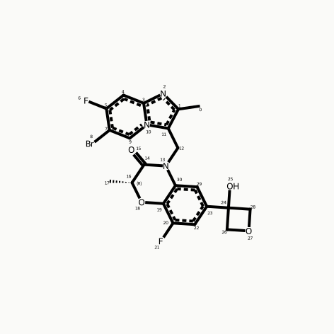 Cc1nc2cc(F)c(Br)cn2c1CN1C(=O)[C@@H](C)Oc2c(F)cc(C3(O)COC3)cc21